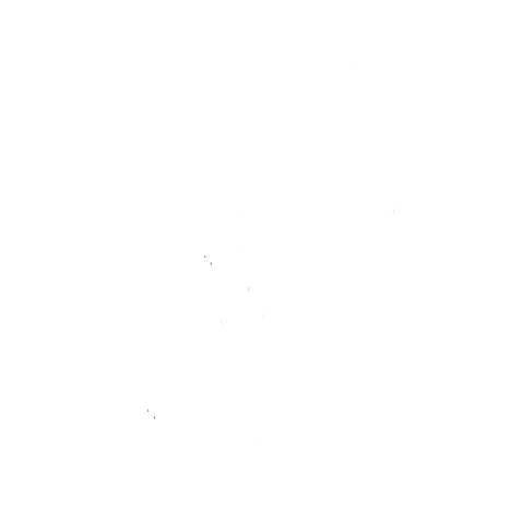 CC(C)C[C@H](NS(=O)(=O)c1ccc2oc3ccc(Br)cc3c2c1)C(=O)CCC1(C#N)CC1